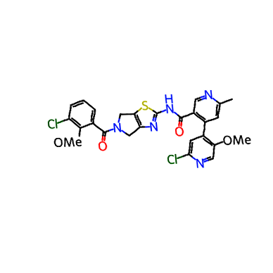 COc1cnc(Cl)cc1-c1cc(C)ncc1C(=O)Nc1nc2c(s1)CN(C(=O)c1cccc(Cl)c1OC)C2